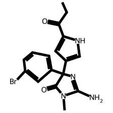 CCC(=O)c1cc(C2(c3cccc(Br)c3)N=C(N)N(C)C2=O)c[nH]1